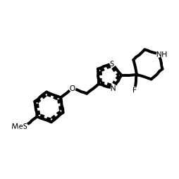 CSc1ccc(OCc2csc(C3(F)CCNCC3)n2)cc1